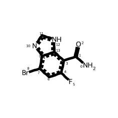 NC(=O)c1c(F)cc(Br)c2nc[nH]c12